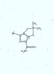 CC1(C)Cc2c(Br)cc(C(N)=O)n2C1